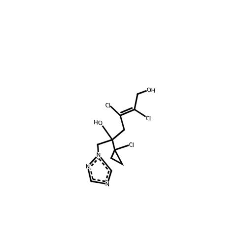 OC/C(Cl)=C(\Cl)CC(O)(Cn1cncn1)C1(Cl)CC1